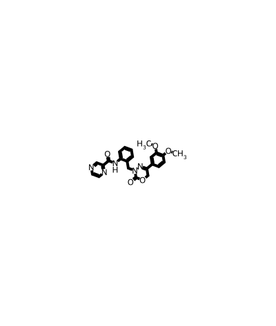 COc1ccc(C2=NN(Cc3ccccc3NC(=O)c3cnccn3)C(=O)OC2)cc1OC